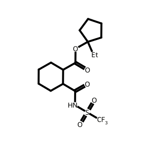 CCC1(OC(=O)C2CCCCC2C(=O)NS(=O)(=O)C(F)(F)F)CCCC1